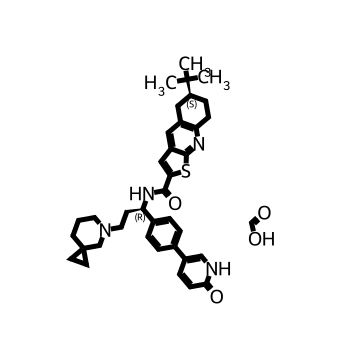 CC(C)(C)[C@H]1CCc2nc3sc(C(=O)N[C@H](CCN4CCCC5(CC5)C4)c4ccc(-c5ccc(=O)[nH]c5)cc4)cc3cc2C1.O=CO